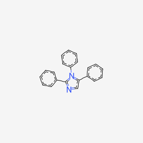 c1ccc(-c2cnc(-c3ccccc3)n2-c2ccccc2)cc1